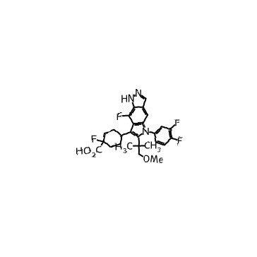 COCC(C)(C)c1c(C2CCC(F)(C(=O)O)CC2)c2c(F)c3[nH]ncc3cc2n1-c1ccc(F)c(F)c1